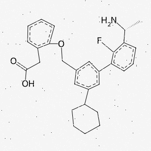 C[C@@H](N)c1cccc(-c2cc(COc3ccccc3CC(=O)O)cc(C3CCCCC3)c2)c1F